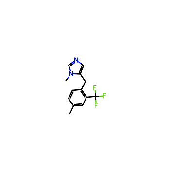 Cc1ccc(Cc2cncn2C)c(C(F)(F)F)c1